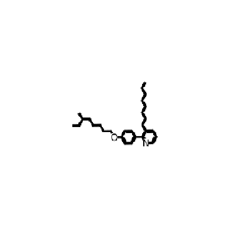 CCCCCCCCc1cccnc1-c1ccc(OCCCCCC(C)CC)cc1